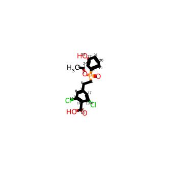 CCOP(=O)(CCc1cc(Cl)c(C(=O)O)c(Cl)c1)c1cccc(O)c1